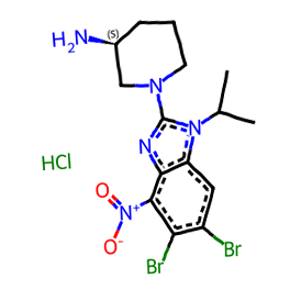 CC(C)n1c(N2CCC[C@H](N)C2)nc2c([N+](=O)[O-])c(Br)c(Br)cc21.Cl